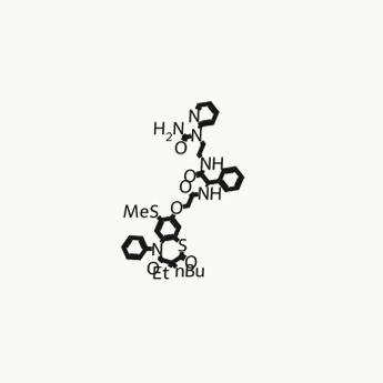 CCCCC1(CC)C(=O)Sc2cc(OCC(=O)N[C@@H](C(=O)NCCN(C(N)=O)c3ccccn3)c3ccccc3)c(SC)cc2N(c2ccccc2)C1=O